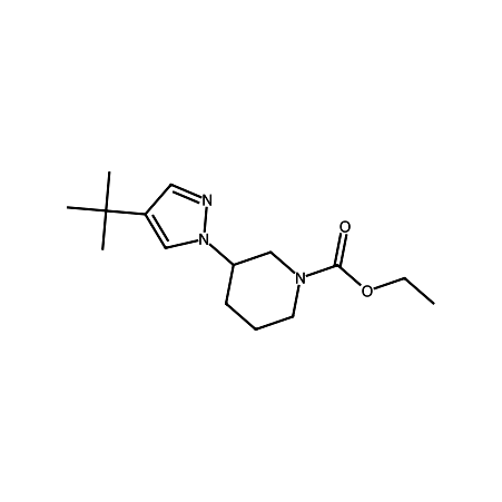 CCOC(=O)N1CCCC(n2cc(C(C)(C)C)cn2)C1